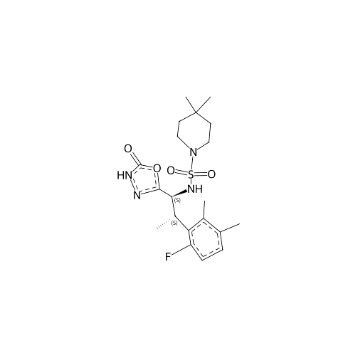 Cc1ccc(F)c([C@H](C)[C@H](NS(=O)(=O)N2CCC(C)(C)CC2)c2n[nH]c(=O)o2)c1C